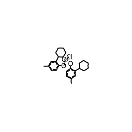 Cc1ccc(OP(=O)(Cl)Oc2ccc(C)cc2C2CCCCC2)c(C2CCCCC2)c1